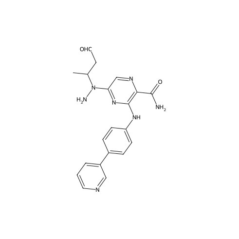 CC(CC=O)N(N)c1cnc(C(N)=O)c(Nc2ccc(-c3cccnc3)cc2)n1